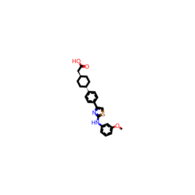 COc1cccc(Nc2nc(-c3ccc([C@H]4CC[C@H](CC(=O)O)CC4)cc3)cs2)c1